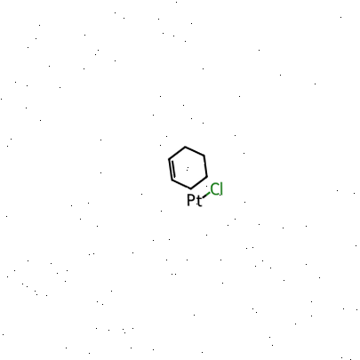 C1=CCCCC1.[Cl][Pt]